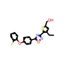 CCc1cc(CO)sc1-c1noc(-c2ccc(Oc3ccccc3F)cc2)n1